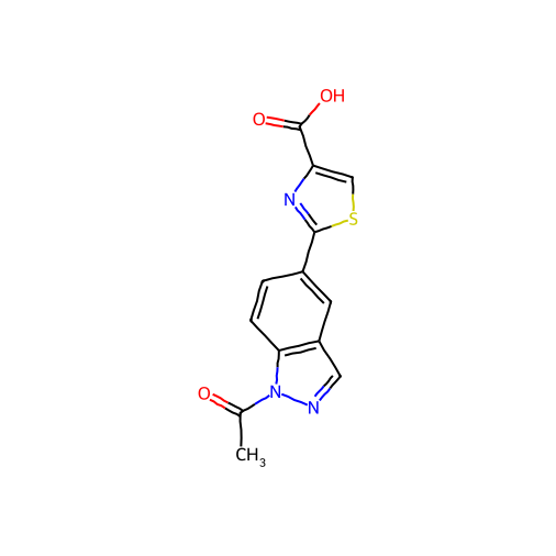 CC(=O)n1ncc2cc(-c3nc(C(=O)O)cs3)ccc21